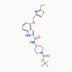 CCc1nc(COc2cccc3[nH]c(C(=O)NC4CCN(C(=O)OC(C)(C)C)CC4)cc23)cs1